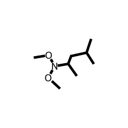 CON(OC)C(C)CC(C)C